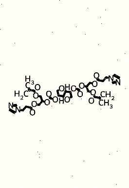 C=C(C)C(=O)OCC(COC(=O)CCn1ccnc1)OC(=O)O[C@H]1CO[C@H]2[C@@H]1OC[C@H]2OC(=O)OC(COC(=O)CCn1ccnc1)COC(=O)C(=C)C